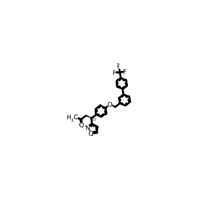 CC(=O)C[C@@H](c1ccc(OCc2cccc(-c3ccc(C(F)(F)F)cc3)c2)cc1)c1ccon1